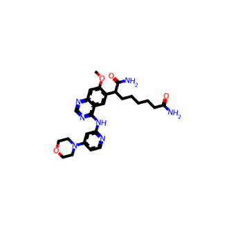 COc1cc2ncnc(Nc3cc(N4CCOCC4)ccn3)c2cc1C(CCCCCC(N)=O)C(N)=O